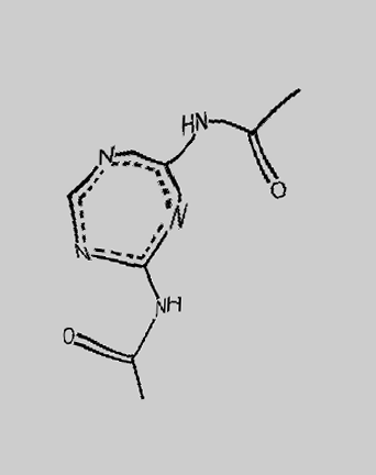 CC(=O)Nc1ncnc(NC(C)=O)n1